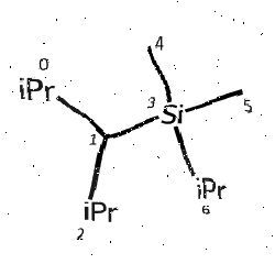 CC(C)C(C(C)C)[Si](C)(C)C(C)C